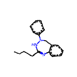 CCCCC1=Nc2ccccc2CN(c2ccccc2)N1